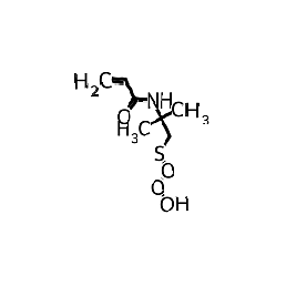 C=CC(=O)NC(C)(C)CSOOO